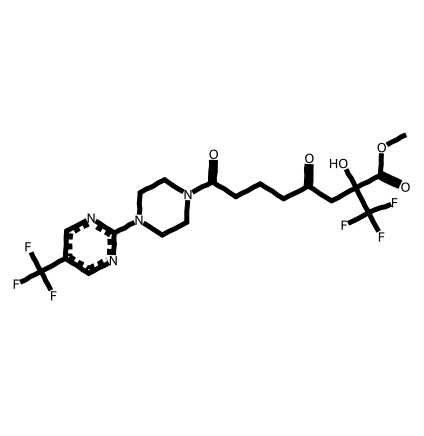 COC(=O)C(O)(CC(=O)CCCC(=O)N1CCN(c2ncc(C(F)(F)F)cn2)CC1)C(F)(F)F